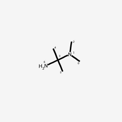 CN(C)C(C)(C)N